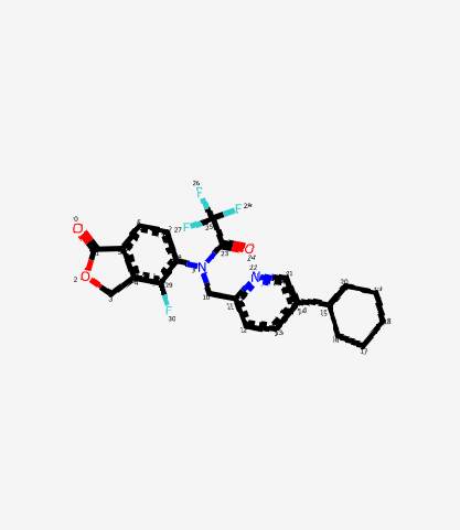 O=C1OCc2c1ccc(N(Cc1ccc(C3CCCCC3)cn1)C(=O)C(F)(F)F)c2F